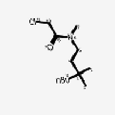 CCCCC(C)(C)CCN(C)C(=O)CCl